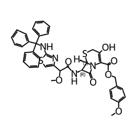 COc1ccc(COC(=O)C2=C(O)CS[C@H]3[C@H](NC(=O)C(OC)c4csc(NC(c5ccccc5)(c5ccccc5)c5ccccc5)n4)C(=O)N23)cc1